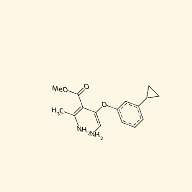 COC(=O)C(/C(=C\N)Oc1cccc(C2CC2)c1)=C(\C)N